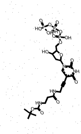 CC(C)(C)OC(=O)NCCC(=O)NCC#Cc1cn(C2CC(O)C(COP(=O)(O)OP(=O)(O)OP(=O)(O)O)O2)c(=O)[nH]c1=O